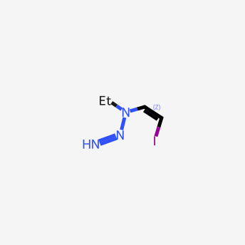 CCN(/C=C\I)N=N